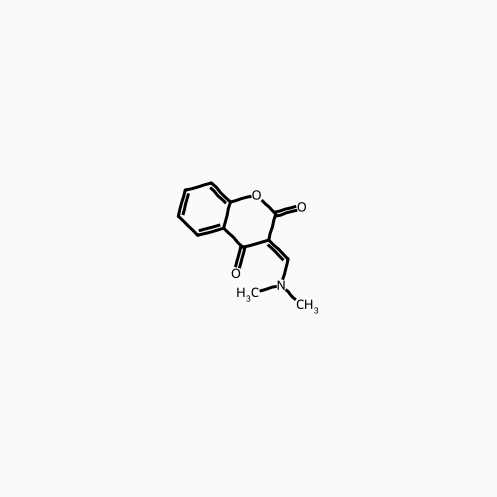 CN(C)C=C1C(=O)Oc2ccccc2C1=O